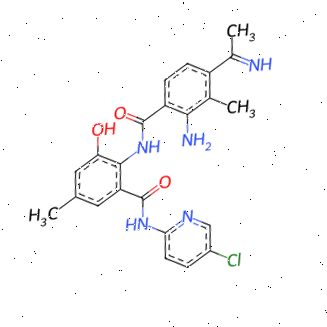 CC(=N)c1ccc(C(=O)Nc2c(O)cc(C)cc2C(=O)Nc2ccc(Cl)cn2)c(N)c1C